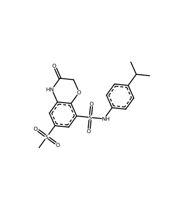 CC(C)c1ccc(NS(=O)(=O)c2cc(S(C)(=O)=O)cc3c2OCC(=O)N3)cc1